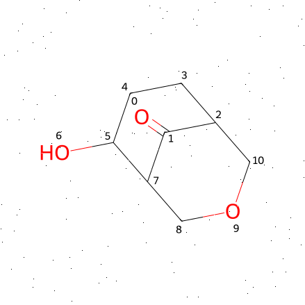 O=C1C2CCC(O)C1COC2